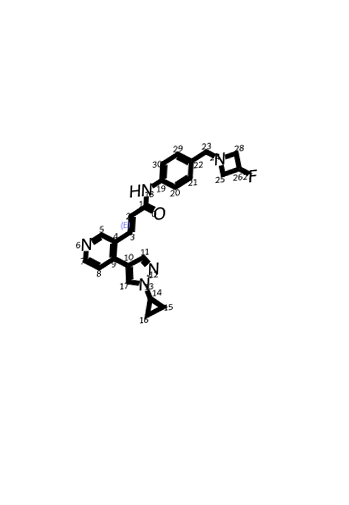 O=C(/C=C/c1cnccc1-c1cnn(C2CC2)c1)Nc1ccc(CN2CC(F)C2)cc1